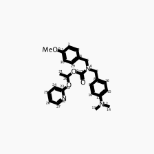 COc1ccc(CN(Cc2ccc(N(C)C)cc2)C(=O)OC(C)Oc2ccccn2)cc1